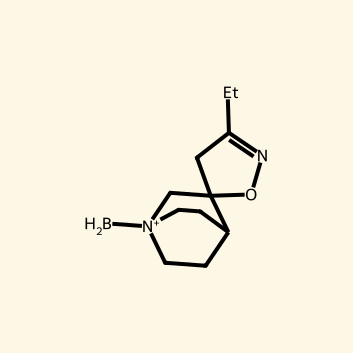 B[N+]12CCC(CC1)C1(CC(CC)=NO1)C2